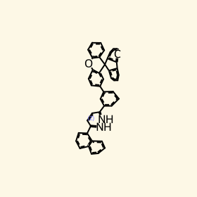 N=C(/C=C\C(=N)c1cccc2ccccc12)c1cccc(-c2ccc3c(c2)C2(c4ccccc4O3)c3ccccc3-c3ccccc32)c1